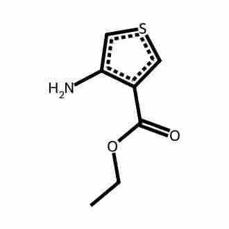 CCOC(=O)c1cscc1N